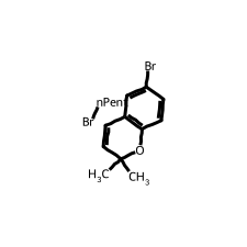 CC1(C)C=Cc2cc(Br)ccc2O1.CCCCCBr